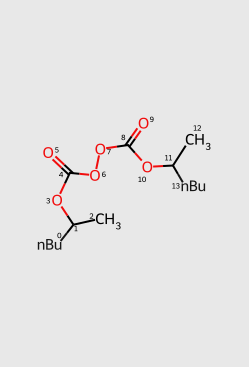 CCCCC(C)OC(=O)OOC(=O)OC(C)CCCC